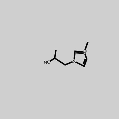 CC(C#N)Cn1cc[n+](C)c1